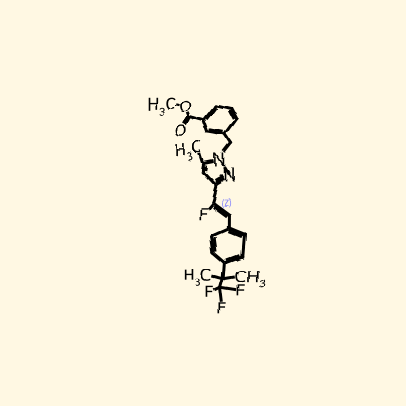 COC(=O)c1cccc(Cn2nc(/C(F)=C/c3ccc(C(C)(C)C(F)(F)F)cc3)cc2C)c1